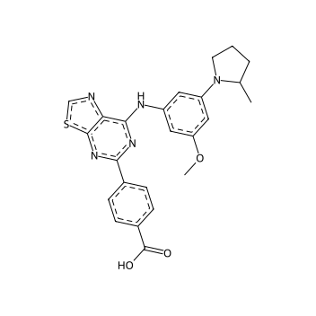 COc1cc(Nc2nc(-c3ccc(C(=O)O)cc3)nc3scnc23)cc(N2CCCC2C)c1